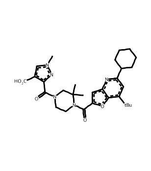 Cn1cc(C(=O)O)c(C(=O)N2CCN(C(=O)c3cc4nc(C5CCCCC5)cc(C(C)(C)C)c4o3)C(C)(C)C2)n1